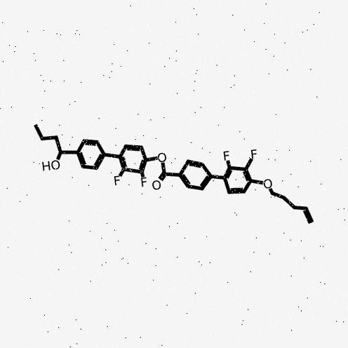 C=CCCCOc1ccc(-c2ccc(C(=O)Oc3ccc(-c4ccc(C(O)CCC)cc4)c(F)c3F)cc2)c(F)c1F